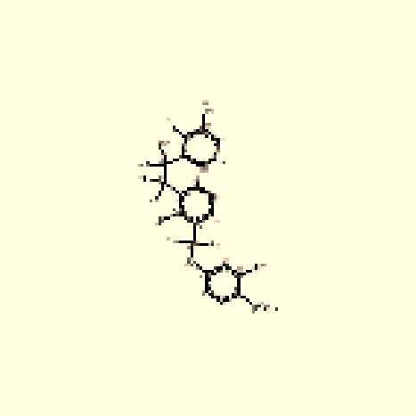 CCCCCc1ccc(OC(F)(F)c2ccc3c(c2F)C(F)(F)C(F)(F)c2c-3ccc(CCC)c2F)cc1F